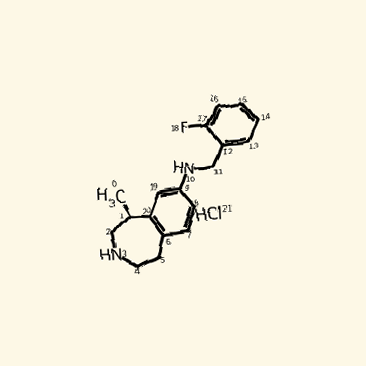 C[C@@H]1CNCCc2ccc(NCc3ccccc3F)cc21.Cl